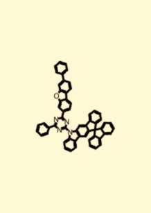 c1ccc(-c2ccc3c(c2)oc2cc(-c4nc(-c5ccccc5)nc(-n5c6ccccc6c6cc7c(cc65)-c5ccccc5C75c6ccccc6-c6ccccc65)n4)ccc23)cc1